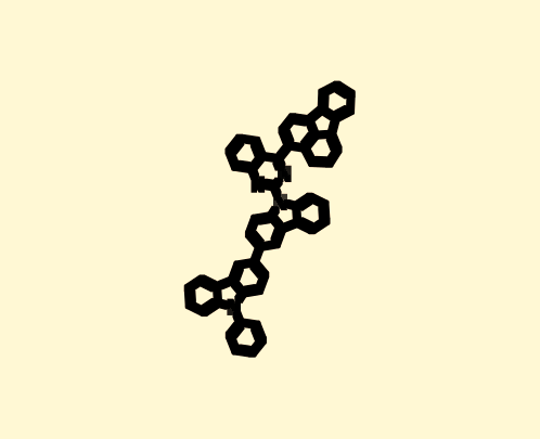 c1ccc(-n2c3ccccc3c3cc(-c4ccc5c(c4)c4ccccc4n5-c4nc(-c5ccc6c7c(cccc57)-c5ccccc5-6)c5ccccc5n4)ccc32)cc1